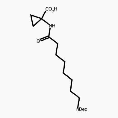 CCCCCCCCCCCCCCCCCC(=O)NC1(C(=O)O)CC1